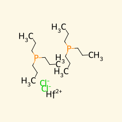 CCCP(CCC)CCC.CCCP(CCC)CCC.[Cl-].[Cl-].[Hf+2]